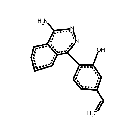 C=Cc1ccc(-c2nnc(N)c3ccccc23)c(O)c1